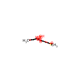 CC#CC#CC#CC#CC(=O)O[C@@H](COC(=O)CCCCCCCCCCCSC(C)=O)COP(=O)(O)O